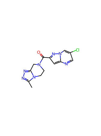 Cc1nnc2n1CCN(C(=O)c1cc3ncc(Cl)cn3n1)C2